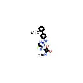 COc1ccccc1-c1ccc(Nc2ncc(F)c(Nc3c(NC(C)(C)C)c(=O)c3=O)n2)cc1